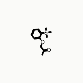 CC(=O)COc1ccccc1[Si](C)(C)C